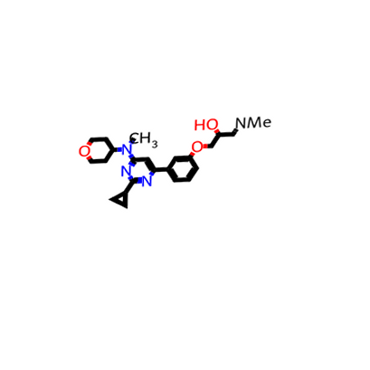 CNCC(O)COc1cccc(-c2cc(N(C)C3CCOCC3)nc(C3CC3)n2)c1